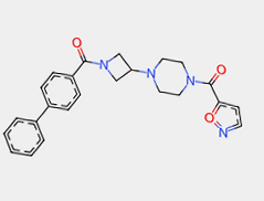 O=C(c1ccc(-c2ccccc2)cc1)N1CC(N2CCN(C(=O)c3ccno3)CC2)C1